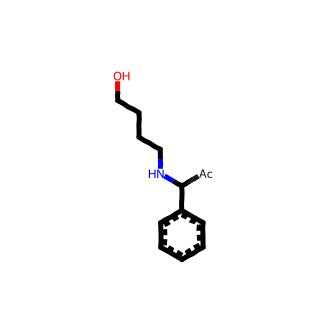 CC(=O)C(NCCCCO)c1ccccc1